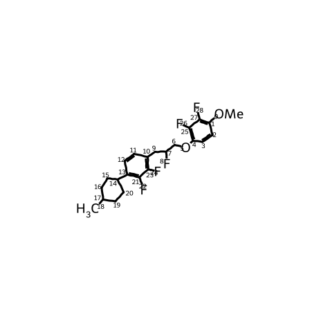 COc1ccc(OCC(F)Cc2ccc(C3CCC(C)CC3)c(F)c2F)c(F)c1F